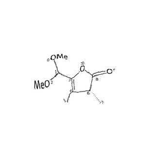 COC(OC)C1=C(C)[C@@H](C)C(=O)O1